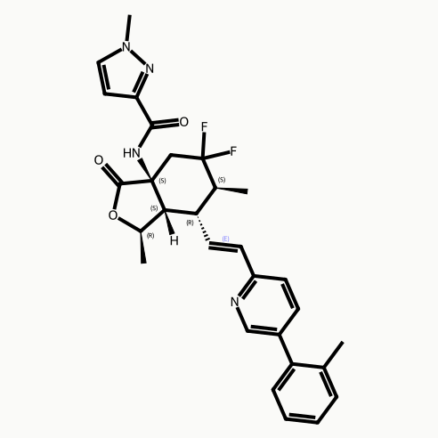 Cc1ccccc1-c1ccc(/C=C/[C@@H]2[C@@H]3[C@@H](C)OC(=O)[C@]3(NC(=O)c3ccn(C)n3)CC(F)(F)[C@H]2C)nc1